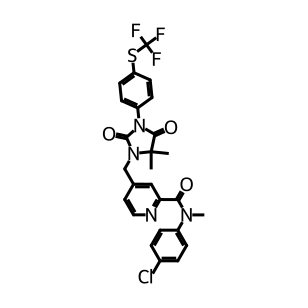 CN(C(=O)c1cc(CN2C(=O)N(c3ccc(SC(F)(F)F)cc3)C(=O)C2(C)C)ccn1)c1ccc(Cl)cc1